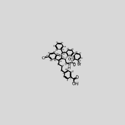 O=C(O)c1ccc(CCCc2c(CCNS(=O)(=O)c3ccccc3Br)n(C(c3ccccc3)c3ccccc3)c3ccc(Cl)cc23)cc1